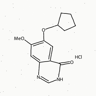 COc1cc2nc[nH]c(=O)c2cc1OC1CCCC1.Cl